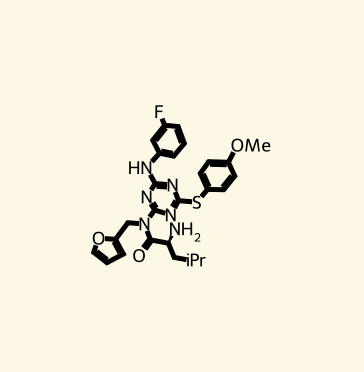 COc1ccc(Sc2nc(Nc3cccc(F)c3)nc(N(Cc3ccco3)C(=O)[C@@H](N)CC(C)C)n2)cc1